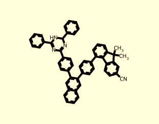 CC1(C)c2cc(C#N)ccc2-c2c(-c3ccc(-c4cc5ccccc5cc4-c4ccc(C5=NC(c6ccccc6)NC(c6ccccc6)=N5)cc4)cc3)cccc21